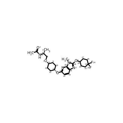 CC(=O)N[C@@H](C)CO[C@H]1CC[C@H](Oc2ccc3nc(OC4CCC(F)(F)CC4)n(C)c3n2)CC1